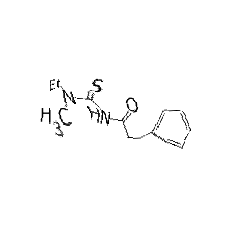 CCN(C)C(=S)NC(=O)Cc1ccccc1